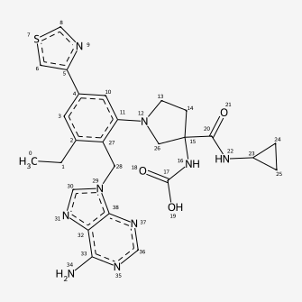 CCc1cc(-c2cscn2)cc(N2CCC(NC(=O)O)(C(=O)NC3CC3)C2)c1Cn1cnc2c(N)ncnc21